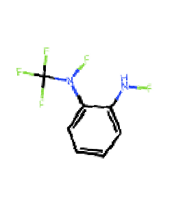 FNc1ccccc1N(F)C(F)(F)F